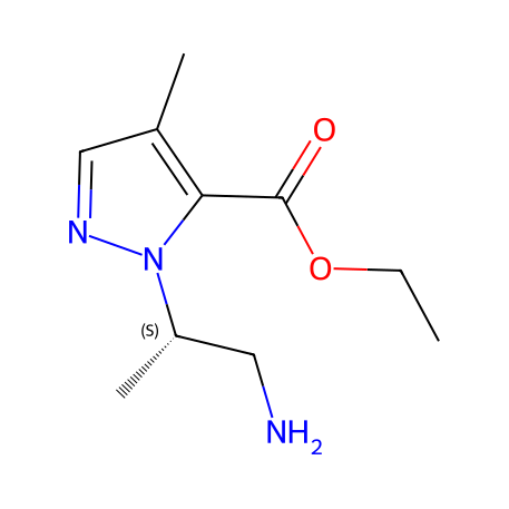 CCOC(=O)c1c(C)cnn1[C@@H](C)CN